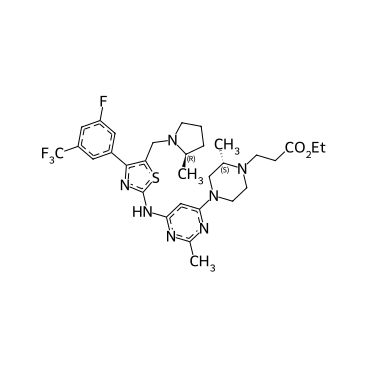 CCOC(=O)CCN1CCN(c2cc(Nc3nc(-c4cc(F)cc(C(F)(F)F)c4)c(CN4CCC[C@H]4C)s3)nc(C)n2)C[C@@H]1C